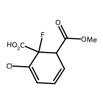 COC(=O)C1C=CC=C(Cl)C1(F)C(=O)O